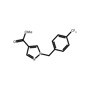 COC(=O)c1cnn(Cc2ccc(C(F)(F)F)cc2)c1